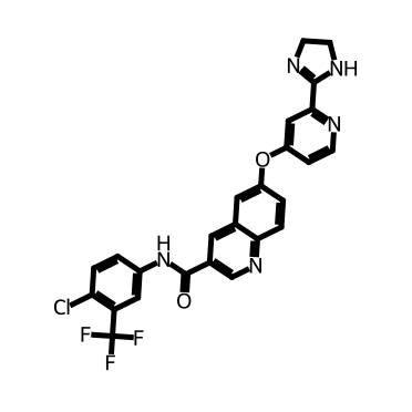 O=C(Nc1ccc(Cl)c(C(F)(F)F)c1)c1cnc2ccc(Oc3ccnc(C4=NCCN4)c3)cc2c1